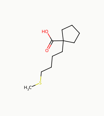 CSCCCCC1(C(=O)O)CCCC1